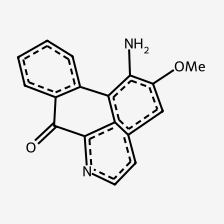 COc1cc2ccnc3c2c(c1N)-c1ccccc1C3=O